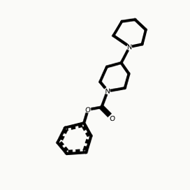 O=C(Oc1cc[c]cc1)N1CCC(N2CCCCC2)CC1